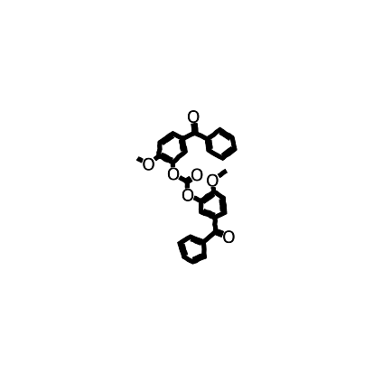 COc1ccc(C(=O)c2ccccc2)cc1OC(=O)Oc1cc(C(=O)c2ccccc2)ccc1OC